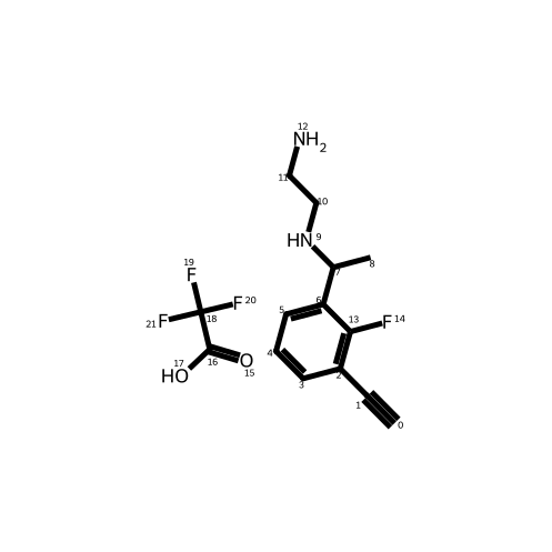 C#Cc1cccc(C(C)NCCN)c1F.O=C(O)C(F)(F)F